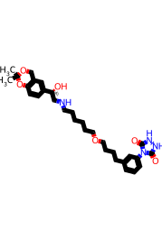 CC1(C)OCc2cc([C@@H](O)CNCCCCCCOCCCCc3cccc(-n4c(=O)[nH][nH]c4=O)c3)ccc2O1